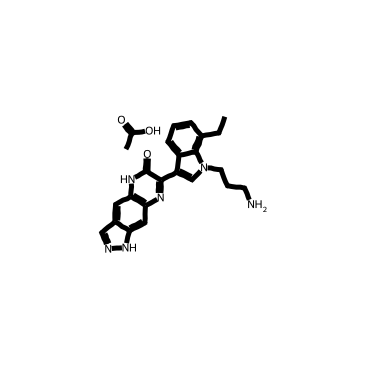 CC(=O)O.CCc1cccc2c(-c3nc4cc5[nH]ncc5cc4[nH]c3=O)cn(CCCN)c12